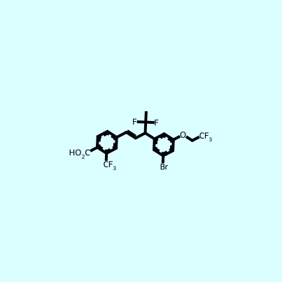 CC(F)(F)C(C=Cc1ccc(C(=O)O)c(C(F)(F)F)c1)c1cc(Br)cc(OCC(F)(F)F)c1